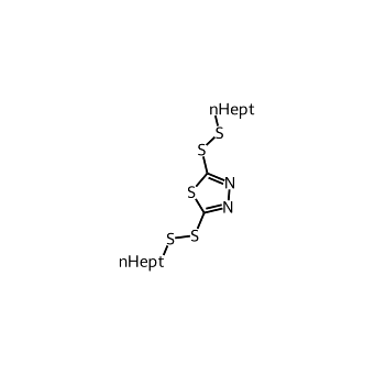 CCCCCCCSSc1nnc(SSCCCCCCC)s1